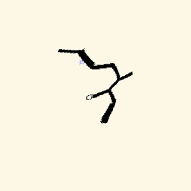 C=CC(Cl)C(C)C/C=C/C